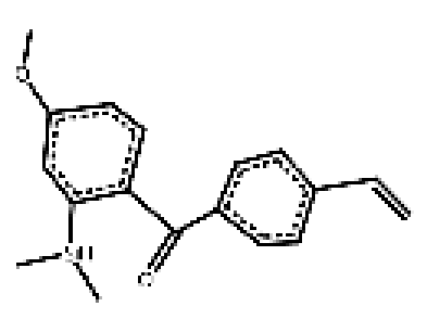 C=Cc1ccc(C(=O)c2ccc(OC)cc2[SiH](C)C)cc1